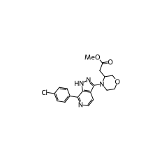 COC(=O)CC1COCCN1c1n[nH]c2c(-c3ccc(Cl)cc3)nccc12